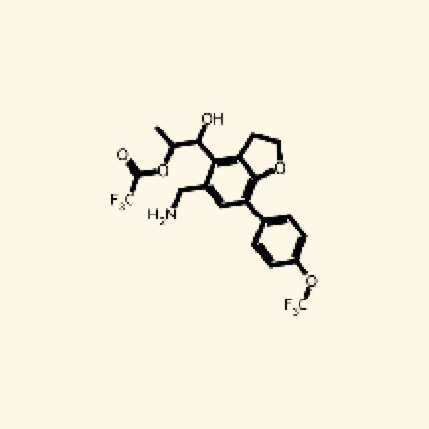 CC(OC(=O)C(F)(F)F)C(O)c1c(CN)cc(-c2ccc(OC(F)(F)F)cc2)c2c1CCO2